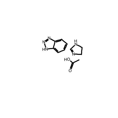 C1=NCCN1.CC(=O)O.c1ccc2[nH]nnc2c1